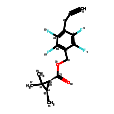 C#CCc1c(F)c(F)c(COC(=O)[C@@H]2[C@@H](C)C2(C)C)c(F)c1F